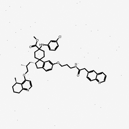 COC(=O)C1(Nc2cccc(Cl)c2)CCC2(CC1)c1cc(OCCCNC(=O)Cc3ccc4ncccc4c3)ccc1C[C@@H]2C[C@@H](C)COc1ccnc2c1[C@H](C)CCC2